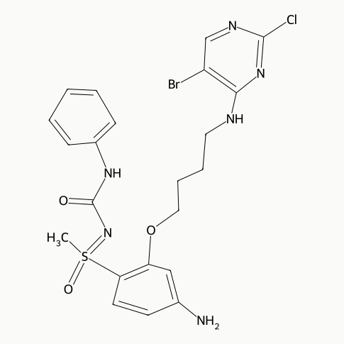 CS(=O)(=NC(=O)Nc1ccccc1)c1ccc(N)cc1OCCCCNc1nc(Cl)ncc1Br